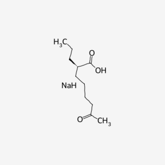 CCC[C@H](CCCCC(C)=O)C(=O)O.[NaH]